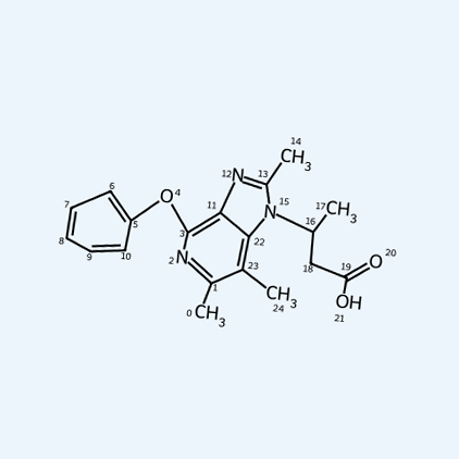 Cc1nc(Oc2ccccc2)c2nc(C)n(C(C)CC(=O)O)c2c1C